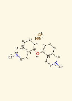 Br.Br.CCN1CCC2C(CCCC2OC2CCCC3CN(CC)CCC32)C1